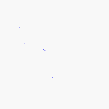 COc1cccc(C)c1-n1ncc2c1COC[C@@H]2NC(=O)c1ncn2c1CCCC2